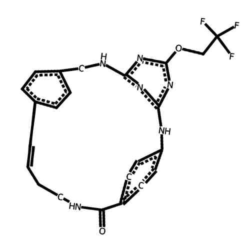 O=C1NCC/C=C/c2ccc(cc2)CNc2nc(nc(OCC(F)(F)F)n2)Nc2ccc1cc2